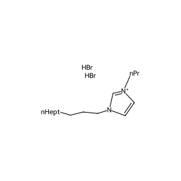 Br.Br.CCCCCCCCCCn1cc[n+](CCC)c1